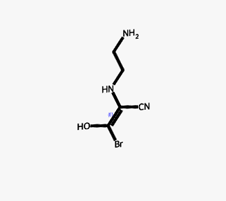 N#C/C(NCCN)=C(/O)Br